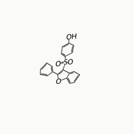 O=S(=O)(c1ccc(O)cc1)c1c(-c2ccccc2)oc2ccccc12